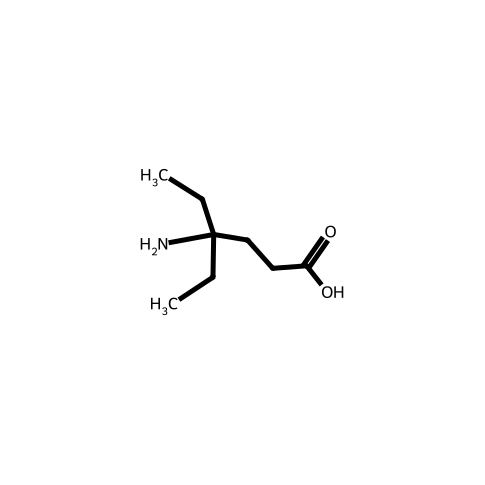 CCC(N)(CC)CCC(=O)O